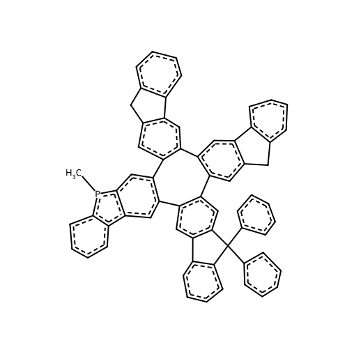 Cp1c2ccccc2c2cc3c(cc21)-c1cc2c(cc1-c1cc4c(cc1-c1cc5c(cc1-3)-c1ccccc1C5(c1ccccc1)c1ccccc1)Cc1ccccc1-4)-c1ccccc1C2